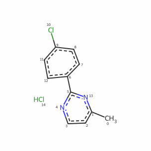 Cc1ccnc(-c2ccc(Cl)cc2)n1.Cl